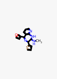 CNC1Nc2ncccc2C(c2ccoc2)=NC1c1cccs1